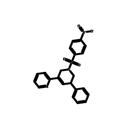 O=[N+]([O-])c1ccc(S(=O)(=O)N2CC(c3ccccn3)=CC(c3ccccc3)C2)cc1